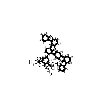 CC(C)(C)c1cc(-c2ccc3c4c5c(ccc4n4c6cc7c8cccc9c%10ccccc%10n(c7cc6c2c34)c98)sc2ccccc25)cc(C(C)(C)C)c1